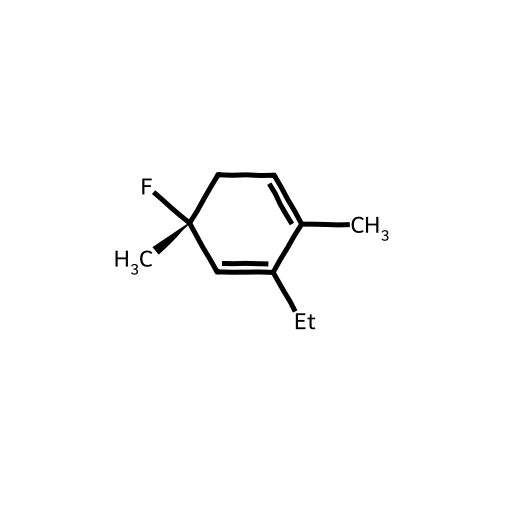 CCC1=C[C@](C)(F)CC=C1C